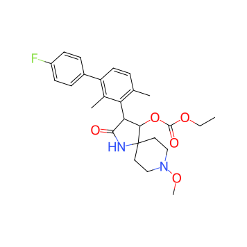 CCOC(=O)OC1C(c2c(C)ccc(-c3ccc(F)cc3)c2C)C(=O)NC12CCN(OC)CC2